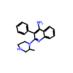 CC1CNCCN1c1nc2ccccc2c(N)c1-c1ccccc1